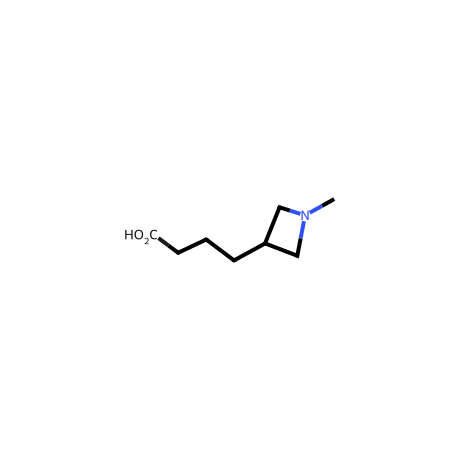 CN1CC(CCCC(=O)O)C1